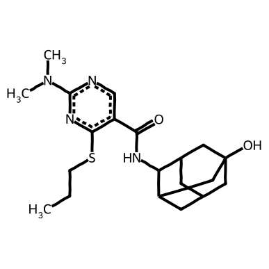 CCCSc1nc(N(C)C)ncc1C(=O)NC1C2CC3CC1CC(O)(C3)C2